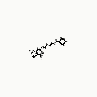 N#Cc1c(C(F)(F)F)cc(OCCCCOCc2ccccc2)nc1Cl